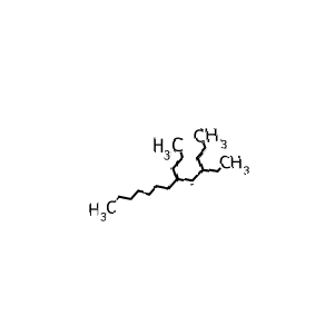 CCCCCCCC([CH]C(CC)CCC)CCC